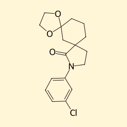 O=C1N(c2cccc(Cl)c2)CCC12CCCC1(C2)OCCO1